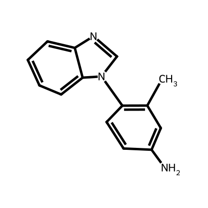 Cc1cc(N)ccc1-n1cnc2ccccc21